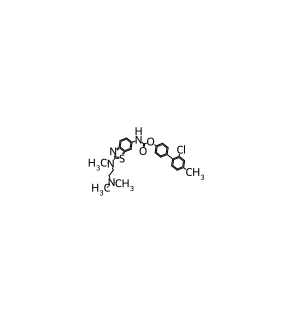 Cc1ccc(-c2ccc(OC(=O)Nc3ccc4nc(N(C)CCN(C)C)sc4c3)cc2)c(Cl)c1